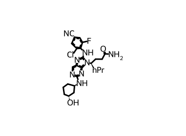 CCC[C@H](CCC(N)=O)n1c(Nc2c(F)cc(C#N)cc2Cl)nc2cnc(N[C@@H]3CCC[C@@H](O)C3)nc21